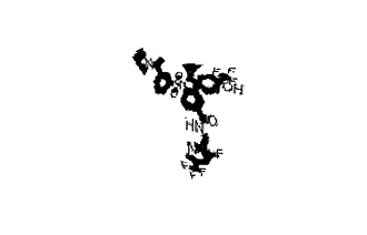 C=C(c1cccc(S(=O)(=O)N2c3ccc(C(=O)NCc4ncc(C(F)(F)F)cc4F)cc3C3(CCC(O)(C(F)(F)F)CC3)C2C2CC2)c1)N1CCC1